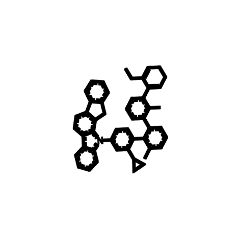 CCC1=CCCC=C1c1cccc(-c2cccc(C)c2-c2ccc(-n3c4ccccc4c4ccc5c(c43)Cc3ccccc3-5)cc2C2CC2)c1C